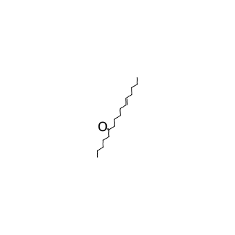 CCCCC=CCCCCC(=O)CCCCC